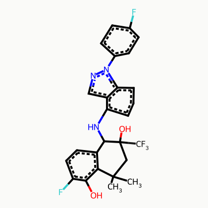 CC1(C)CC(O)(C(F)(F)F)C(Nc2cccc3c2cnn3-c2ccc(F)cc2)c2ccc(F)c(O)c21